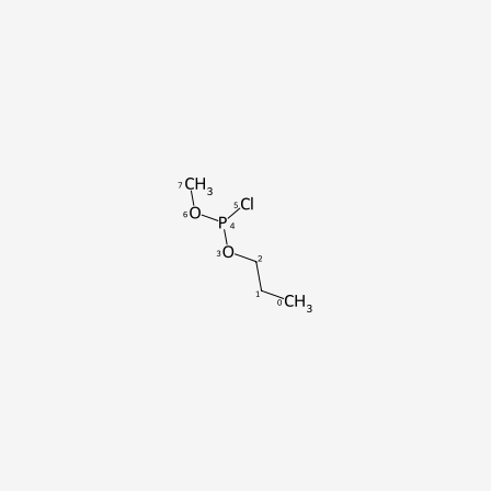 CCCOP(Cl)OC